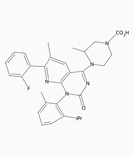 Cc1cc2c(N3CCN(C(=O)O)CC3C)nc(=O)n(-c3c(C)cccc3C(C)C)c2nc1-c1ccccc1F